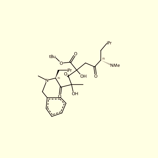 CN[C@@H](CC(C)C)C(=O)CC(O)(C(=O)OC(C)(C)C)C(=O)C(C)(O)C(=O)[C@H](CC(C)C)N(C)Cc1ccccc1